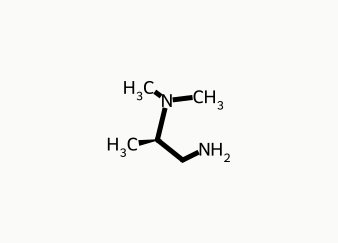 C[C@H](CN)N(C)C